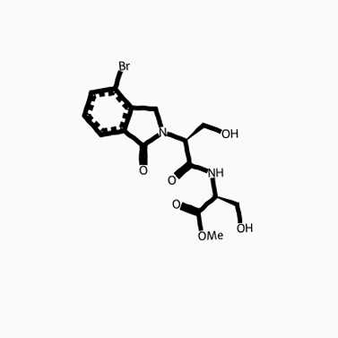 COC(=O)[C@H](CO)NC(=O)[C@H](CO)N1Cc2c(Br)cccc2C1=O